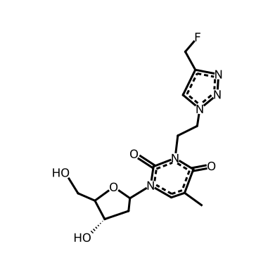 Cc1cn(C2C[C@H](O)C(CO)O2)c(=O)n(CCn2cc(CF)nn2)c1=O